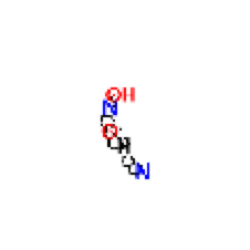 C[C@]12CC=C3C=C4CC[C@H](N5CC(O)C5)C[C@]45CC[C@]3(O5)[C@@H]1CC[C@@H]2c1ccc2ccncc2c1